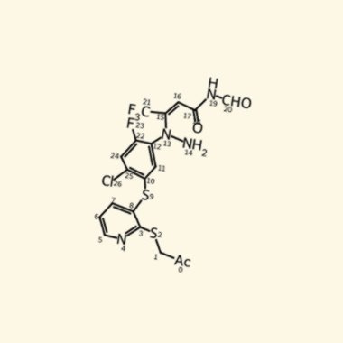 CC(=O)CSc1ncccc1Sc1cc(N(N)/C(=C\C(=O)NC=O)C(F)(F)F)c(F)cc1Cl